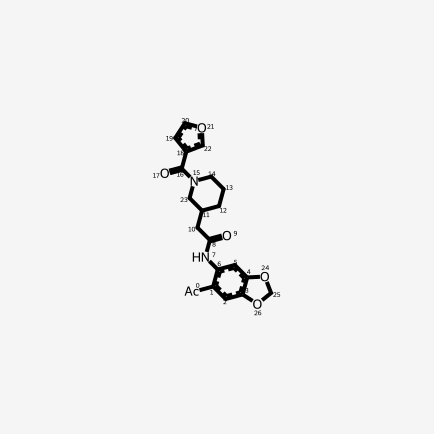 CC(=O)c1cc2c(cc1NC(=O)CC1CCCN(C(=O)c3ccoc3)C1)OCO2